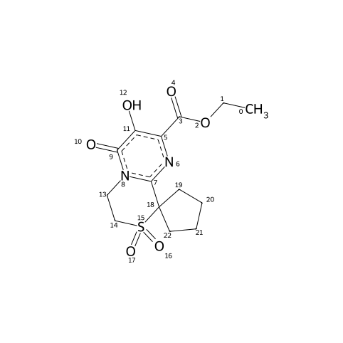 CCOC(=O)c1nc2n(c(=O)c1O)CCS(=O)(=O)C21CCCC1